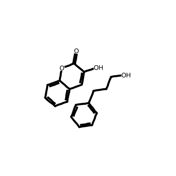 O=c1oc2ccccc2cc1O.OCCCc1ccccc1